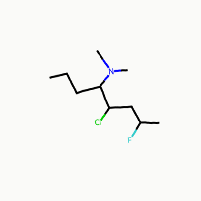 CCCC(C(Cl)CC(C)F)N(C)C